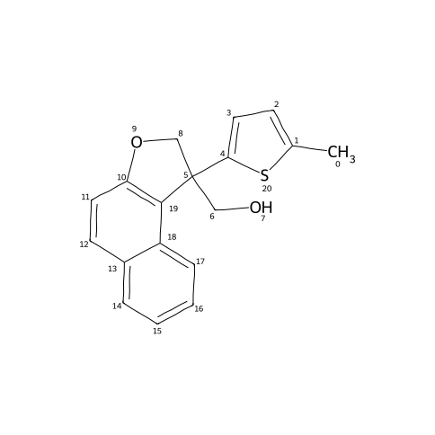 Cc1ccc(C2(CO)COc3ccc4ccccc4c32)s1